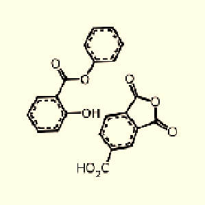 O=C(O)c1ccc2c(c1)C(=O)OC2=O.O=C(Oc1ccccc1)c1ccccc1O